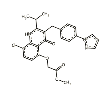 COC(=O)COc1ccc(Cl)c2[nH]c(C(C)C)c(Cc3ccc(-n4cccn4)cc3)c(=O)c12